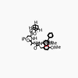 COc1ccc(C[C@H](Nc2cccc(-c3ccccc3)c2)C(=O)NC(C)C(=O)NC(CC(C)C)B2O[C@H]3C[C@@H]4C[C@@H](C4(C)C)[C@@]3(C)O2)c(OC)c1OC